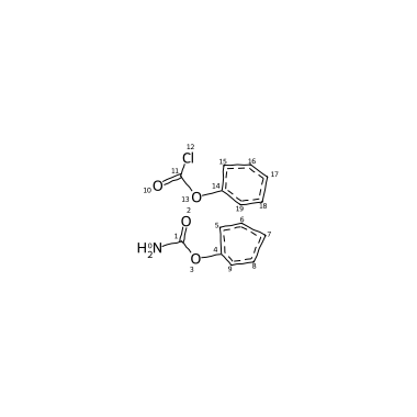 NC(=O)Oc1ccccc1.O=C(Cl)Oc1ccccc1